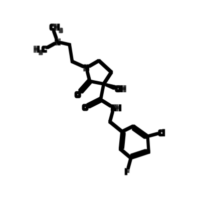 CN(C)CCN1CC[C@](O)(C(=O)NCc2cc(F)cc(Cl)c2)C1=O